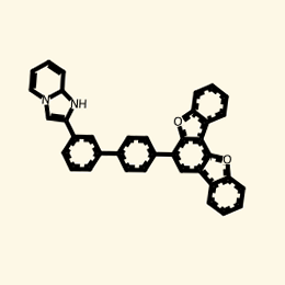 C1=CC2NC(c3cccc(-c4ccc(-c5cc6c7ccccc7oc6c6c5oc5ccccc56)cc4)c3)=CN2C=C1